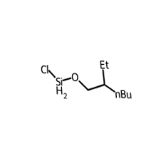 CCCCC(CC)CO[SiH2]Cl